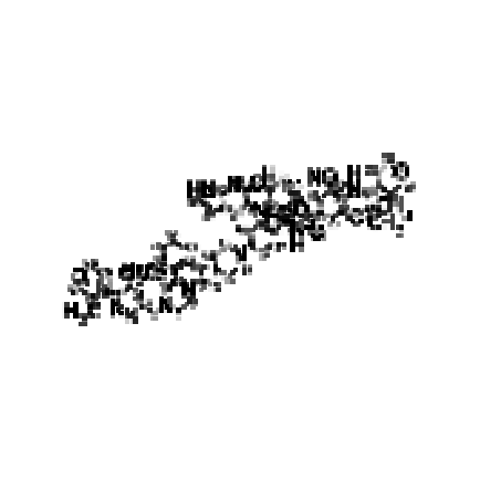 COc1cc(CN2CCN(C3CC4(CCN(c5ccc(C(=O)NS(=O)(=O)c6cc7c(c([N+](=O)[O-])c6)N[C@H](C6CCOCC6)C(C)(C)O7)c(N6c7cc8cc[nH]c8nc7O[C@H]7COCC[C@@H]76)c5)CC4)C3)[C@H](c3ccccc3C)C2)cnc1N1CCOC[C@@H]1C